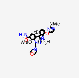 CNc1nccc(Oc2cccc3c(-c4c(C(C)(C)C)cc(C(N)=O)c(OC)c4NCCN4CCOCC4)c(C(=O)O)n(C)c23)n1